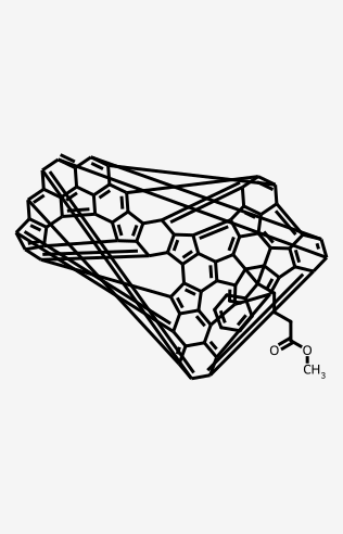 COC(=O)CCCC1(c2ccccc2)C23c4c5c6c7c8c9c(c%10c%11c2c2c4c4c%12c5c5c6c6c8c8c%13c9c9c%10c%10c%11c%11c2c2c4c4c%14c%12c%12c5c5c6c8c6c8c%13c9c9c%10c%10c%11c%11c2c4c2c4c%14c%12c%12c5c6c5c6c8c9c8c%10c%11c2c(c86)c4c%125)C713